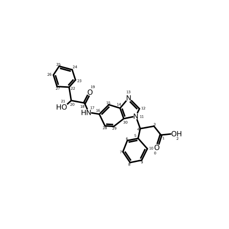 O=C(O)CC(c1ccccc1)n1cnc2cc(NC(=O)C(O)c3ccccc3)ccc21